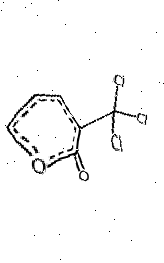 O=c1occcc1C(Cl)(Cl)Cl